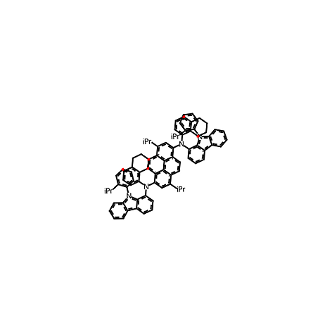 CC(C)c1ccccc1-n1c2ccccc2c2cccc(N(c3cccc4c3CCCC4)c3cc(C(C)C)c4ccc5c(N(c6cccc7c6CCCC7)c6cccc7c8ccccc8n(-c8ccccc8C(C)C)c67)cc(C(C)C)c6ccc3c4c65)c21